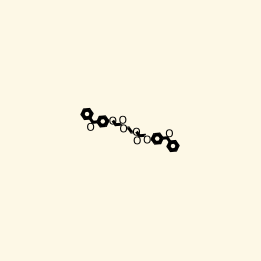 O=C(COc1ccc(C(=O)c2ccccc2)cc1)OCCOC(=O)COc1ccc(C(=O)c2ccccc2)cc1